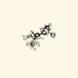 CC(C)(C)OC(=O)N1C[C@](C)(CO[Si](C)(C)C(C)(C)C)c2cc(-c3ccnc(Nc4cc(Cl)nn4C[C@@H]4COCCO4)n3)cc(C#N)c21